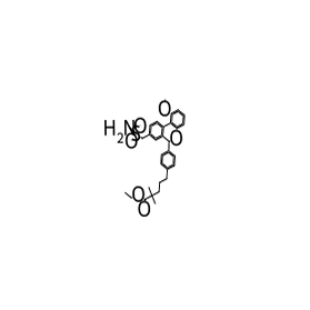 CCOC(=O)C(C)(C)CCCc1ccc(C2Oc3cccc(OC)c3-c3ccc(CS(N)(=O)=O)cc32)cc1